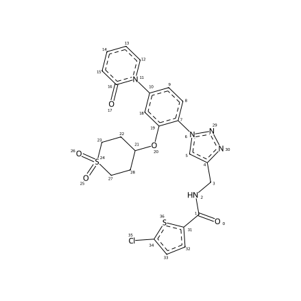 O=C(NCc1cn(-c2ccc(-n3ccccc3=O)cc2OC2CCS(=O)(=O)CC2)nn1)c1ccc(Cl)s1